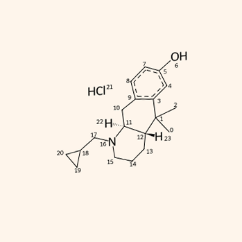 CC1(C)c2cc(O)ccc2C[C@H]2[C@H]1CCCN2CC1CC1.Cl